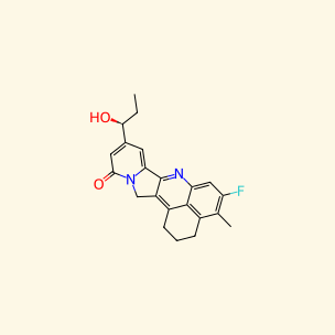 CC[C@H](O)c1cc2n(c(=O)c1)Cc1c-2nc2cc(F)c(C)c3c2c1CCC3